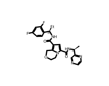 CC[C@@H](NC(=O)c1cc(C(=O)N[C@@H](C)c2cnccn2)n2c1COCC2)c1ccc(F)cc1F